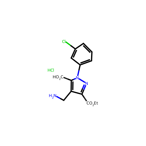 CCOC(=O)c1nn(-c2cccc(Cl)c2)c(C(=O)O)c1CN.Cl